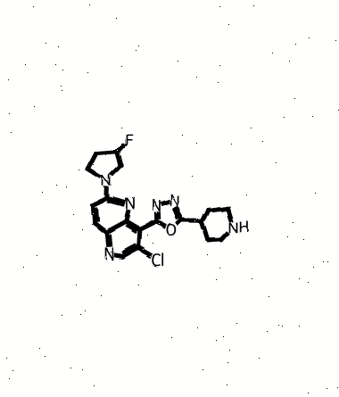 FC1CCN(c2ccc3ncc(Cl)c(-c4nnc(C5CCNCC5)o4)c3n2)C1